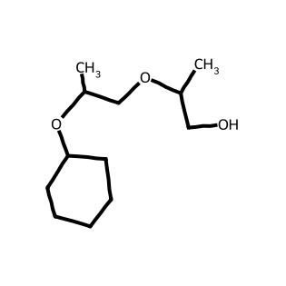 CC(CO)OCC(C)OC1CCCCC1